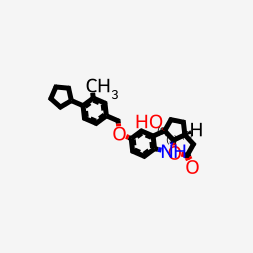 Cc1cc(COc2ccc3c(c2)[C@@]2(O)CC[C@@H]4CC(=O)O[C@@]42N3)ccc1C1CCCC1